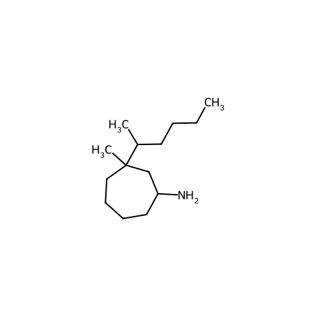 CCCCC(C)C1(C)CCCCC(N)C1